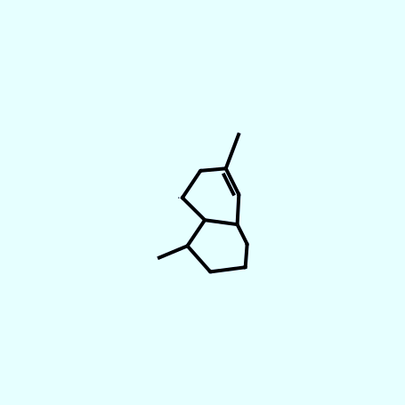 CC1=CC2CCCC(C)C2[CH]C1